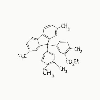 CCOC(=O)c1cc(C2(c3ccc(C)c(C)c3)c3cc(C)ccc3-c3ccc(C)cc32)ccc1C